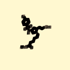 CCCCCCCCCCCCN1C[C@H](NS(=O)(=O)c2ccc(Cl)cc2)C[C@H]1/C=C\CCCC(=O)OC